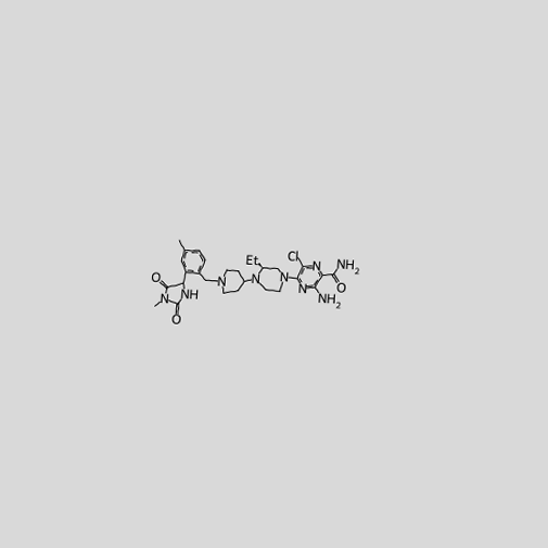 CC[C@H]1CN(c2nc(N)c(C(N)=O)nc2Cl)CCN1C1CCN(Cc2ccc(C)cc2C2NC(=O)N(C)C2=O)CC1